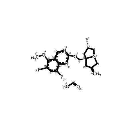 C=C1CN2C[C@@H](F)C[C@@]2(COc2ncc3c(OC)c(F)cc(F)c3n2)C1.O=CO